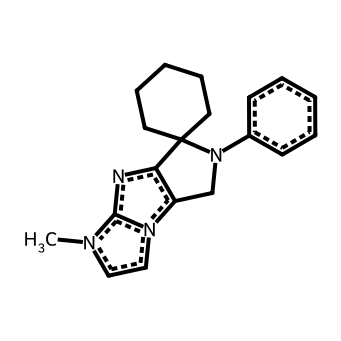 Cn1ccn2c3c(nc12)C1(CCCCC1)N(c1ccccc1)C3